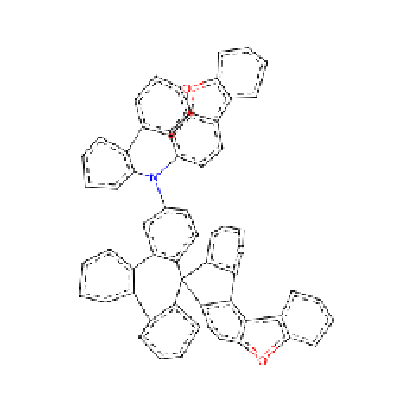 c1ccc(-c2ccccc2N(c2ccc3c(c2)-c2ccccc2-c2ccccc2C32c3ccccc3-c3c2ccc2oc4ccccc4c32)c2ccc3c(c2)oc2ccccc23)cc1